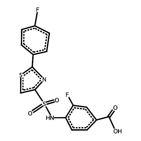 O=C(O)c1ccc(NS(=O)(=O)c2csc(-c3ccc(F)cc3)n2)c(F)c1